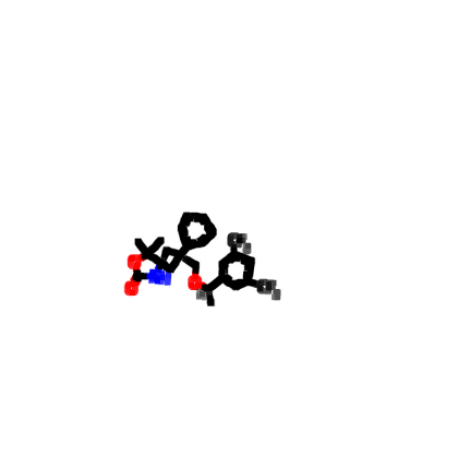 C[C@@H](OC[C@]1(c2ccccc2)C[C@@]2(C1)NC(=O)OC2(C)C)c1cc(C(F)(F)F)cc(C(F)(F)F)c1